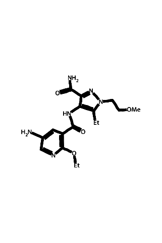 CCOc1ncc(N)cc1C(=O)Nc1c(C(N)=O)nn(CCOC)c1CC